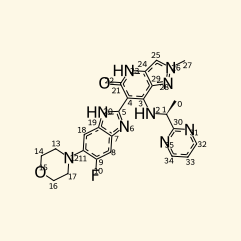 C[C@H](Nc1c(-c2nc3cc(F)c(N4CCOCC4)cc3[nH]2)c(=O)[nH]c2cn(C)nc12)c1ncccn1